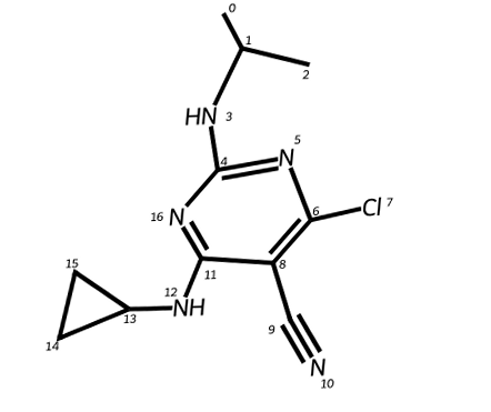 CC(C)Nc1nc(Cl)c(C#N)c(NC2CC2)n1